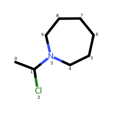 CC(Cl)N1CCCCCC1